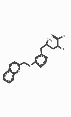 CC(=O)C(C)CC(C)Cc1cccc(OCc2ccc3ccccc3n2)c1